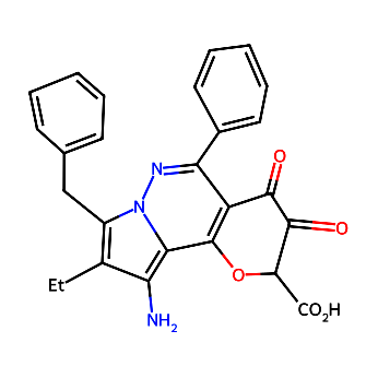 CCc1c(N)c2c3c(c(-c4ccccc4)nn2c1Cc1ccccc1)C(=O)C(=O)C(C(=O)O)O3